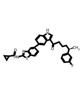 C[C@H](CCCC(=O)c1c[nH]c2ccc(-c3ccc4sc(NC(=O)C5CC5)nc4c3)cc12)c1cccc(F)c1